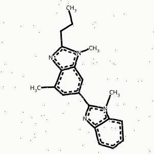 CCCc1nc2c(C)cc(-c3nc4ccccc4n3C)cc2n1C